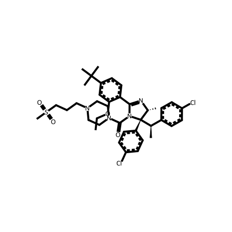 CCOc1cc(C(C)(C)C)ccc1C1=N[C@H](C)[C@](c2ccc(Cl)cc2)([C@H](C)c2ccc(Cl)cc2)N1C(=O)N1CCN(CCCS(C)(=O)=O)CC1